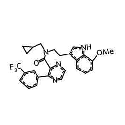 COc1cccc2c(CCN(CC3CC3)C(=O)c3nccnc3-c3cccc(C(F)(F)F)c3)c[nH]c12